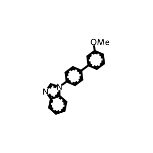 COc1cccc(-c2ccc(-n3cnc4ccccc43)cc2)c1